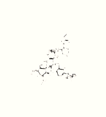 C=CC(=O)NC1CCCCC1Nc1ncc2c(n1)N(Cc1cccc(NS(C)(=O)=O)c1)C(=O)N(c1c(Cl)c(OC)cc(OC)c1Cl)C2